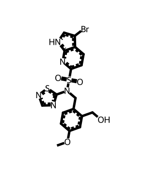 COc1ccc(CN(c2ncns2)S(=O)(=O)c2ccc3c(Br)c[nH]c3n2)c(CO)c1